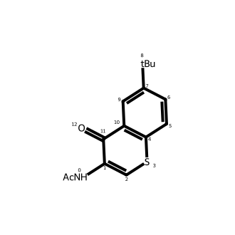 CC(=O)Nc1csc2ccc(C(C)(C)C)cc2c1=O